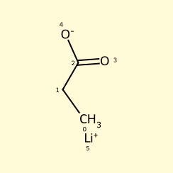 CCC(=O)[O-].[Li+]